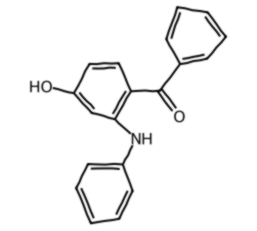 O=C(c1ccccc1)c1ccc(O)cc1Nc1ccccc1